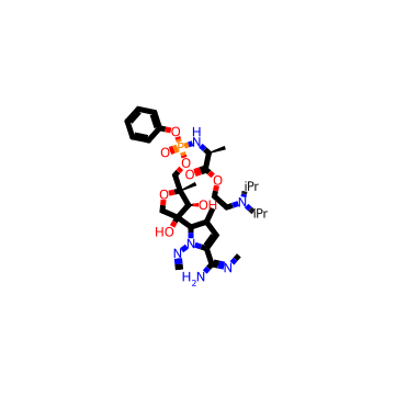 C=NN1C(/C(N)=N\C)=CC(C)C1C1(O)CO[C@](C)(COP(=O)(N[C@@H](C)C(=O)OCCN(C(C)C)C(C)C)Oc2ccccc2)[C@H]1O